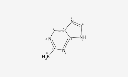 Bc1ncc2nc[nH]c2n1